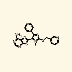 Cn1c(SCc2cccnc2)nc(-c2ccccc2)c1-c1nc2c(N)ncnc2s1